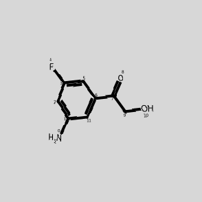 Nc1cc(F)cc(C(=O)CO)c1